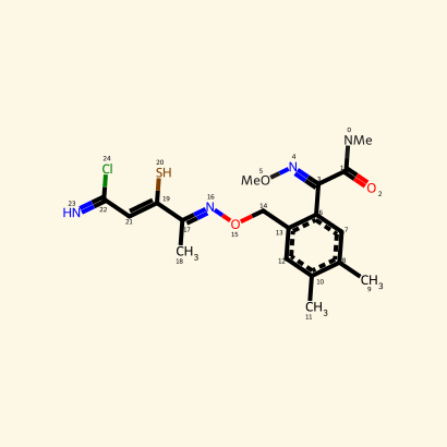 CNC(=O)/C(=N/OC)c1cc(C)c(C)cc1CO/N=C(C)/C(S)=C/C(=N)Cl